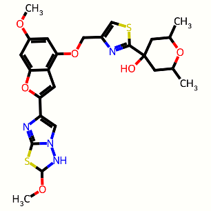 COc1cc(OCc2csc(C3(O)CC(C)OC(C)C3)n2)c2cc(-c3cn4c(n3)SC(OC)N4)oc2c1